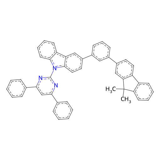 CC1(C)c2ccccc2-c2ccc(-c3cccc(-c4ccc5c(c4)c4ccccc4n5-c4nc(-c5ccccc5)cc(-c5ccccc5)n4)c3)cc21